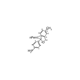 CCCCCC1(c2ccc(P)cc2)OCc2cc(C)ccc21